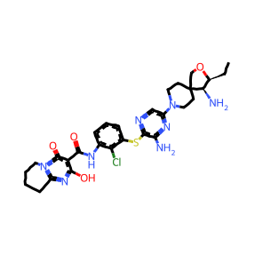 CC[C@@H]1OCC2(CCN(c3cnc(Sc4cccc(NC(=O)c5c(O)nc6n(c5=O)CCCC6)c4Cl)c(N)n3)CC2)[C@@H]1N